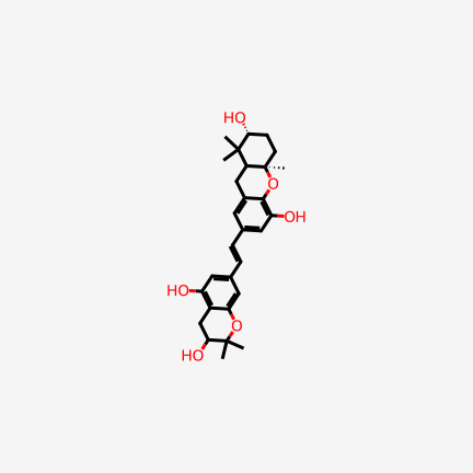 CC1(C)Oc2cc(/C=C/c3cc(O)c4c(c3)CC3C(C)(C)[C@H](O)CC[C@@]3(C)O4)cc(O)c2CC1O